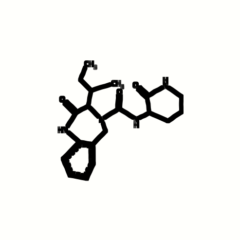 CCC(C)C1C(=O)Nc2ccccc2CN1C(=O)NC1CCCNC1=O